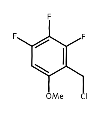 COc1cc(F)c(F)c(F)c1CCl